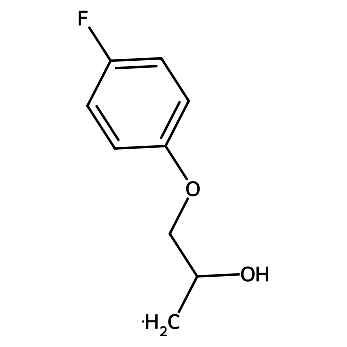 [CH2]C(O)COc1ccc(F)cc1